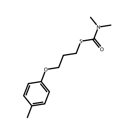 Cc1ccc(OCCCSC(=O)N(C)C)cc1